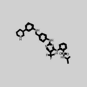 CC(C)NS(=O)(=O)c1ccccc1Nc1nc(Nc2ccc(CNc3cccc(C4CCCNC4)c3)cc2)ncc1C(F)(F)F